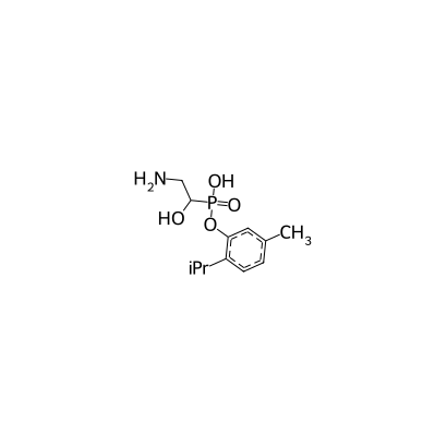 Cc1ccc(C(C)C)c(OP(=O)(O)C(O)CN)c1